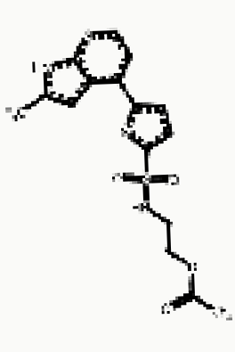 O=C(OCCNS(=O)(=O)c1ccc(-c2ccnc3[nH]c(C(F)(F)F)cc23)s1)C(F)(F)F